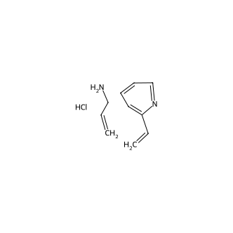 C=CCN.C=Cc1ccccn1.Cl